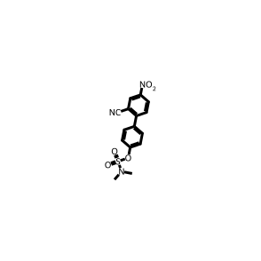 CN(C)S(=O)(=O)Oc1ccc(-c2ccc([N+](=O)[O-])cc2C#N)cc1